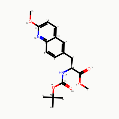 COC(=O)[C@H](Cc1ccc2nc(OC)ccc2c1)NC(=O)OC(C)(C)C